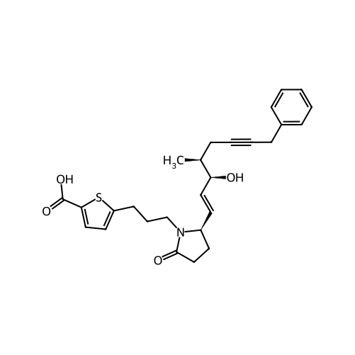 C[C@@H](CC#CCc1ccccc1)[C@@H](O)C=C[C@H]1CCC(=O)N1CCCc1ccc(C(=O)O)s1